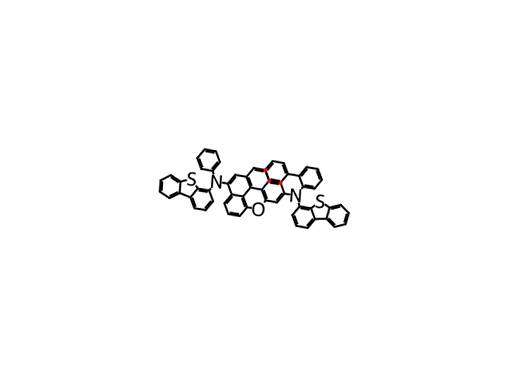 c1ccc(-c2ccccc2N(c2cc3c4c(ccc5cc(N(c6ccccc6)c6cccc7c6sc6ccccc67)c6cccc(c6c54)O3)c2)c2cccc3c2sc2ccccc23)cc1